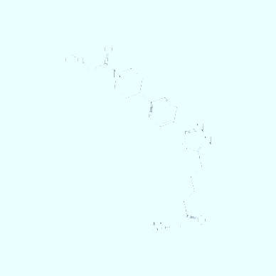 COC(=O)CCCCc1nnc(-c2ccc(C3CCN(C(=O)OC(C)(C)C)CC3)cc2)s1